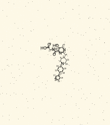 Cc1nc(CC2CCN(c3ccc(-c4ccsc4)cc3)CC2)nc(C(=O)NCC(=O)O)c1O